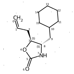 C=CC[C@@H]1OC(=O)N[C@H]1CC1CCCCC1